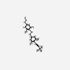 CCCc1cc(C)c(CCc2cc(F)c(C#CC(F)(F)F)c(F)c2)c(F)c1